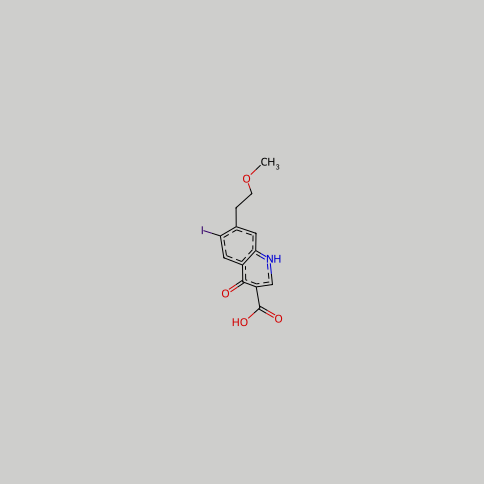 COCCc1cc2[nH]cc(C(=O)O)c(=O)c2cc1I